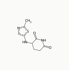 Cc1ncc(NC2CCC(=O)NC2=O)s1